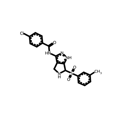 Cc1cccc(S(=O)(=O)C2NCc3c(NC(=O)c4ccc(Cl)cc4)n[nH]c32)c1